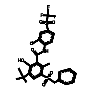 Cc1c(S(=O)(=O)Cc2ccccc2)cc(C(C)(C)C)c(O)c1C(=O)Nc1ccc(S(=O)(=O)C(F)(F)F)cc1Cl